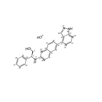 Cl.OC[C@@H](Nc1ncc2cc(-c3ncnc4[nH]ncc34)ccc2n1)c1ccccc1